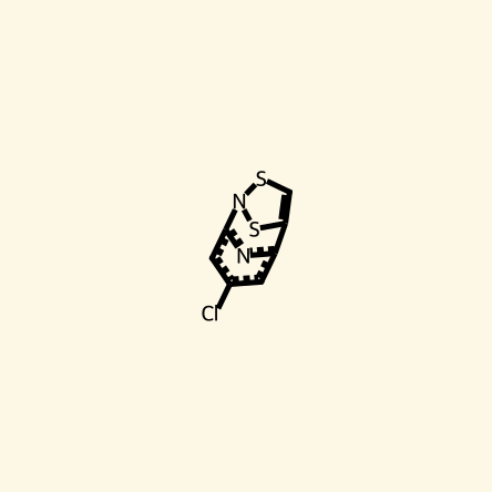 Clc1cc2nc(c1)N1SC=C2S1